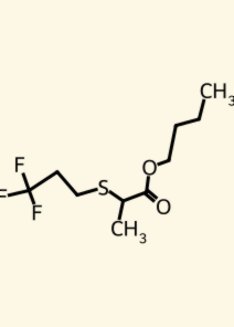 CCCCOC(=O)C(C)SCCC(F)(F)F